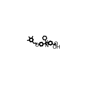 Cc1cc(CCOc2ccc(-c3nc4cc(C(=O)O)ccc4n3C3CCCCC3)cc2)cc(C)c1C